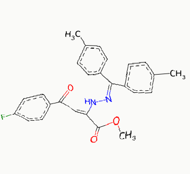 COC(=O)/C(=C/C(=O)c1ccc(F)cc1)NN=C(c1ccc(C)cc1)c1ccc(C)cc1